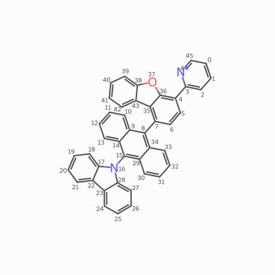 c1ccc(-c2ccc(-c3c4ccccc4c(-n4c5ccccc5c5ccccc54)c4ccccc34)c3c2oc2ccccc23)nc1